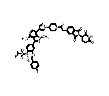 C[C@H](Oc1cc(-c2nn(C)c3c(-c4cnn(C5CCN(C(=O)Cc6ccc7c(c6)C(=O)N(C6CCC(=O)NC6=O)C7=O)CC5)c4)cnc(N)c23)ccc1NS(=O)(=O)C(F)F)c1ccc(F)cc1